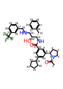 CC(=O)N1CCC[C@@H]1c1cc(C(=O)N[C@@H](Cc2ccccc2)[C@H](O)CNCc2cccc(C(F)(F)F)c2)cc(C2CCCC2)c1